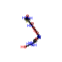 N=C(NCCCCCO)NCc1ccc(OCc2cn(CCOCCOCCOCCNC(=O)CCCC[C@@H]3SC[C@@H]4NC(=O)N[C@@H]43)nn2)cc1